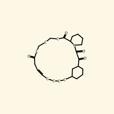 O=C1CC=CCCCCC2CCCC(C2)C(=O)C(=O)N2CCCCC2C(=O)CCCCC1